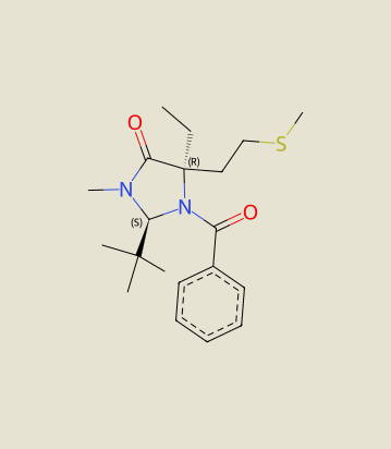 CC[C@@]1(CCSC)C(=O)N(C)[C@H](C(C)(C)C)N1C(=O)c1ccccc1